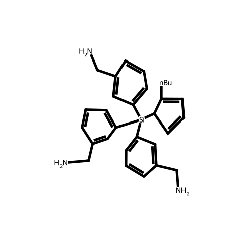 CCCCC1=CC=C[C]1[Si](c1cccc(CN)c1)(c1cccc(CN)c1)c1cccc(CN)c1